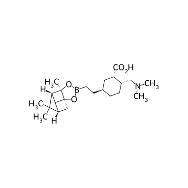 CN(C)C[C@@H]1CC[C@@H](CCB2O[C@@]34C[C@H]5C3[C@H](C5(C)C)[C@@]4(C)O2)C[C@@H]1C(=O)O